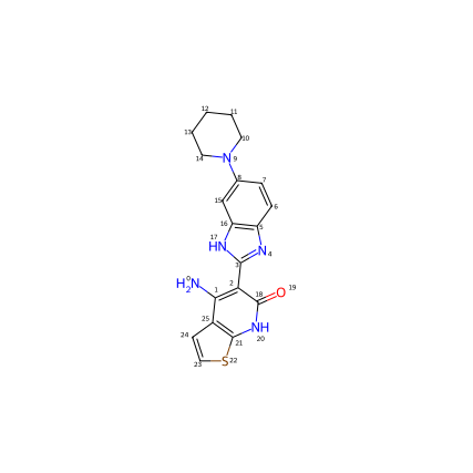 Nc1c(-c2nc3ccc(N4CCCCC4)cc3[nH]2)c(=O)[nH]c2sccc12